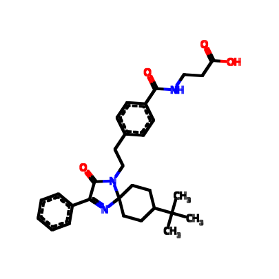 CC(C)(C)C1CCC2(CC1)N=C(c1ccccc1)C(=O)N2CCc1ccc(C(=O)NCCC(=O)O)cc1